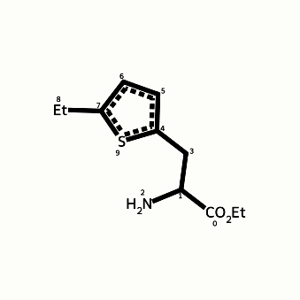 CCOC(=O)C(N)Cc1ccc(CC)s1